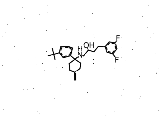 C=C1CCC(NC[C@@H](O)CCc2cc(F)cc(F)c2)(c2cccc(C(C)(C)C)c2)CC1